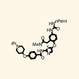 CCCCCNC(=O)Nc1ccc(Oc2cnc(NC(=O)c3ccc(OC4CCN(C(C)C)CC4)cc3)s2)c(CC(=O)NC)c1